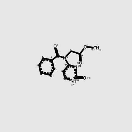 COC(=O)CN(C(=O)c1ccccc1)c1cc[nH]c(=O)n1